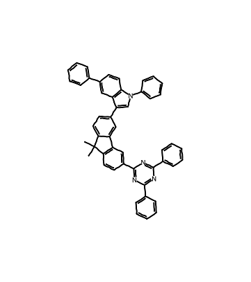 CC1(C)c2ccc(-c3nc(-c4ccccc4)nc(-c4ccccc4)n3)cc2-c2cc(-c3cn(-c4ccccc4)c4ccc(-c5ccccc5)cc34)ccc21